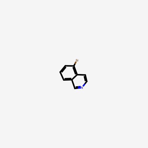 Brc1cccc2cn[c]cc12